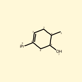 CC(C)C1=CCC(C)C(O)C1